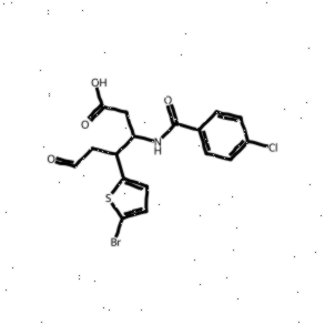 O=CCC(c1ccc(Br)s1)C(CC(=O)O)NC(=O)c1ccc(Cl)cc1